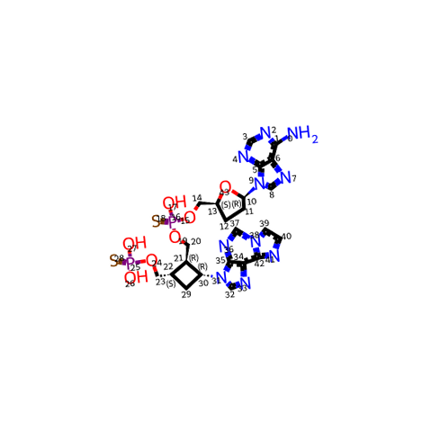 Nc1ncnc2c1ncn2[C@H]1CC[C@@H](COP(O)(=S)OC[C@@H]2[C@@H](COP(O)(O)=S)C[C@H]2n2cnc3c2ncn2ccnc32)O1